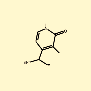 CCCC(F)c1nc[nH]c(=O)c1C